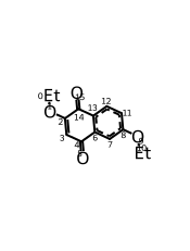 CCOC1=CC(=O)c2cc(OCC)ccc2C1=O